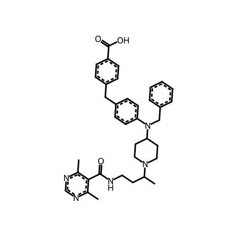 Cc1ncnc(C)c1C(=O)NCCC(C)N1CCC(N(Cc2ccccc2)c2ccc(Cc3ccc(C(=O)O)cc3)cc2)CC1